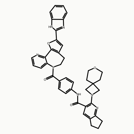 O=C(Nc1ccc(C(=O)N2CCc3cc(-c4nc5ccccc5[nH]4)oc3-c3ncccc32)cc1)c1cc2c(nc1N1CC3(CCOCC3)C1)CCC2